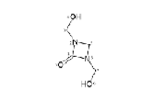 O=C1N(CO)CN1CO